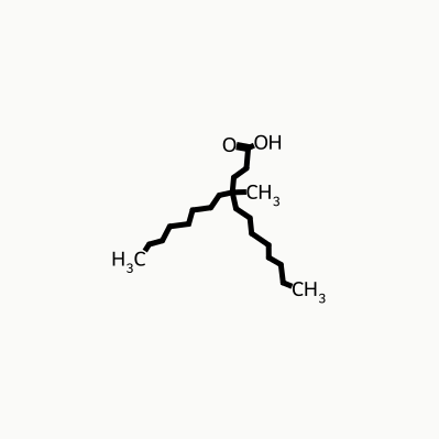 CCCCCCCCC(C)(CCCCCCCC)CCC(=O)O